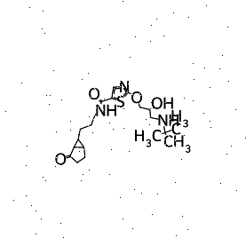 CC(C)(C)NCC(O)COc1ncc(C(=O)NCCCC2C3CCC(=O)C23)s1